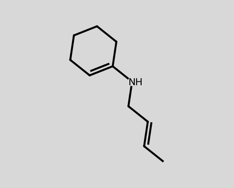 CC=CCNC1=CCCCC1